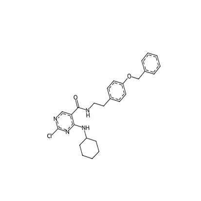 O=C(NCCc1ccc(OCc2ccccc2)cc1)c1cnc(Cl)nc1NC1CCCCC1